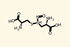 N[C@H](CS[SH](C[C@@H](N)C(=O)O)N=O)C(=O)O